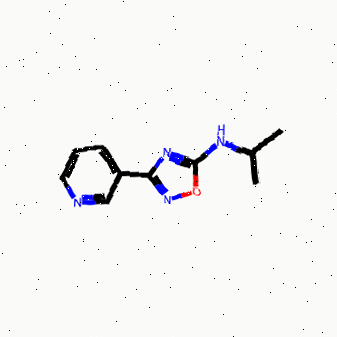 CC(C)Nc1nc(-c2cccnc2)no1